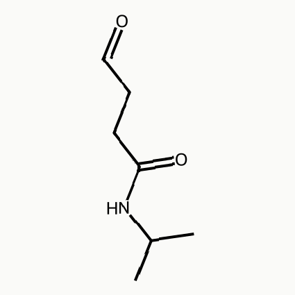 CC(C)NC(=O)CCC=O